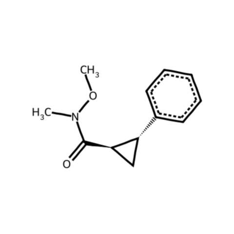 CON(C)C(=O)[C@@H]1C[C@H]1c1ccccc1